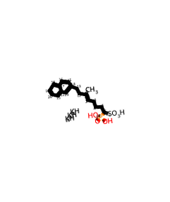 C/C(=C\CCCC(P(=O)(O)O)S(=O)(=O)O)CCc1ccc2ccccc2c1.[KH].[KH].[KH]